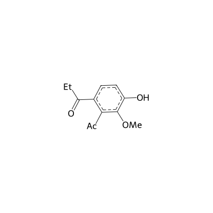 CCC(=O)c1ccc(O)c(OC)c1C(C)=O